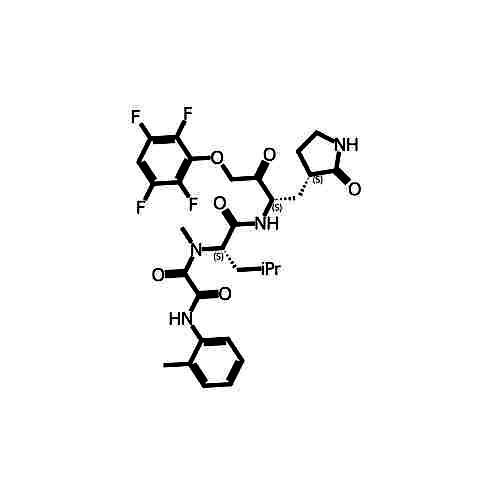 Cc1ccccc1NC(=O)C(=O)N(C)[C@@H](CC(C)C)C(=O)N[C@@H](C[C@@H]1CCNC1=O)C(=O)COc1c(F)c(F)cc(F)c1F